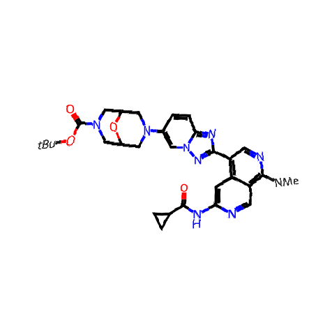 CNc1ncc(-c2nc3ccc(N4CC5CN(C(=O)OC(C)(C)C)CC(C4)O5)cn3n2)c2cc(NC(=O)C3CC3)ncc12